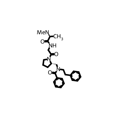 CN[C@@H](C)C(=O)NCC(=O)N1CCC[C@H]1CN(CCc1ccccc1)C(=O)c1ccccc1